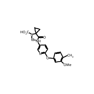 COc1cc(Oc2ccc(NC(=O)C3(N(C(=O)O)C(C)(C)C)CC3)cn2)ccc1C